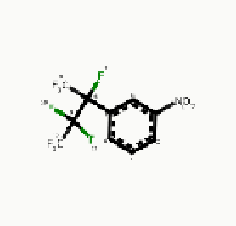 O=[N+]([O-])c1cccc(C(F)(C(F)(F)F)C(F)(F)C(F)(F)F)c1